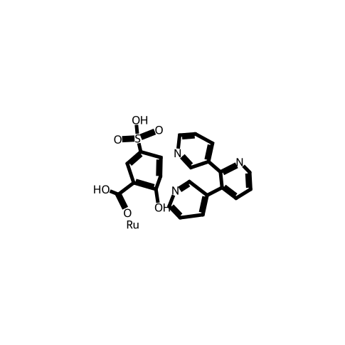 O=C(O)c1cc(S(=O)(=O)O)ccc1O.[Ru].c1cncc(-c2cccnc2-c2cccnc2)c1